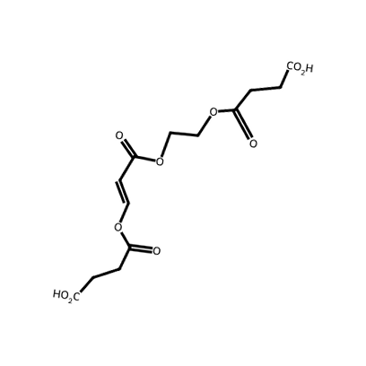 O=C(O)CCC(=O)OC=CC(=O)OCCOC(=O)CCC(=O)O